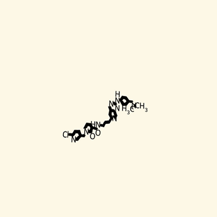 CN(C)Cc1ccc(Nc2ncc3cc(C=CCNC(=O)c4cccn(Cc5ccc(Cl)nc5)c4=O)ncc3n2)cc1